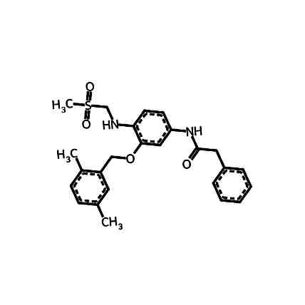 Cc1ccc(C)c(COc2cc(NC(=O)Cc3ccccc3)ccc2NCS(C)(=O)=O)c1